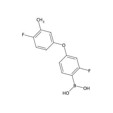 Cc1cc(Oc2ccc(B(O)O)c(F)c2)ccc1F